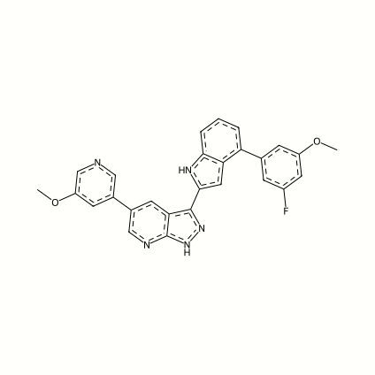 COc1cncc(-c2cnc3[nH]nc(-c4cc5c(-c6cc(F)cc(OC)c6)cccc5[nH]4)c3c2)c1